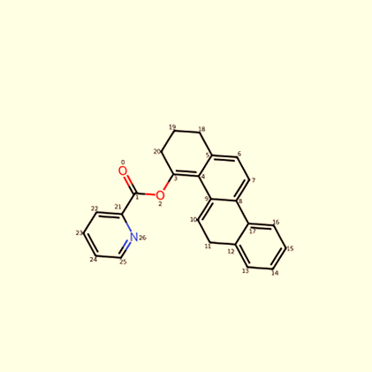 O=C(OC1=c2c(ccc3c2=CCc2ccccc2-3)CCC1)c1ccccn1